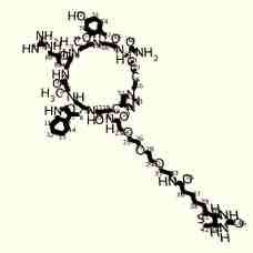 C[C@H]1NC(=O)[C@@H](Cc2c[nH]c3ccccc23)NC(=O)[C@@H](NC(=O)COCCOCCOCCNC(=O)CCCCC2SC[C@H]3NC(=O)N[C@@H]23)Cc2cn(nn2)CCCC[C@@H](C(N)=O)NC(=O)[C@@H](Cc2ccc(O)cc2)NC(=O)[C@@H](C)NC(=O)[C@@H](CCCNC(=N)N)NC1=O